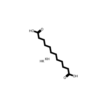 O=C(O)CCCCCCCCCCC(=O)O.[KH].[KH]